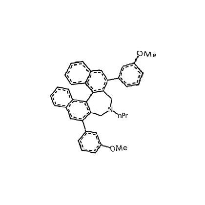 CCCN1Cc2c(-c3cccc(OC)c3)cc3ccccc3c2-c2c(c(-c3cccc(OC)c3)cc3ccccc23)C1